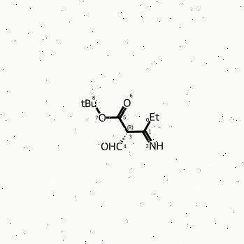 CCC(=N)[C@H](C=O)C(=O)OC(C)(C)C